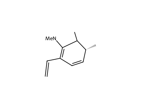 C=CC1=C(NC)C(C)[C@H](C)C=C1